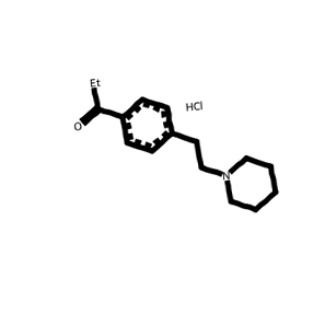 CCC(=O)c1ccc(CCN2CCCCC2)cc1.Cl